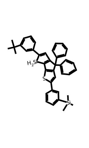 CC(C)(C)c1cccc(C2=CC3=C([SiH2]2)c2sc(-c4cccc([Si](C)(C)C)c4)cc2C3(c2ccccc2)c2ccccc2)c1